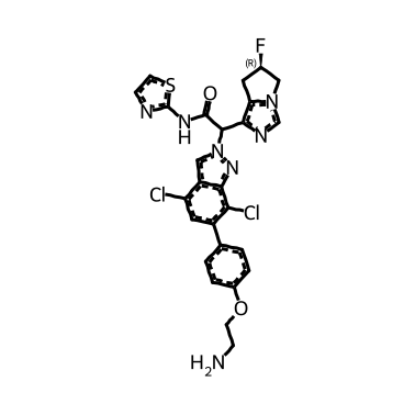 NCCOc1ccc(-c2cc(Cl)c3cn(C(C(=O)Nc4nccs4)c4ncn5c4C[C@@H](F)C5)nc3c2Cl)cc1